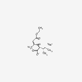 CCOC(=O)C=C(C)N[C@H](C(=O)[O-])[C@@H](C)CC.[Na+]